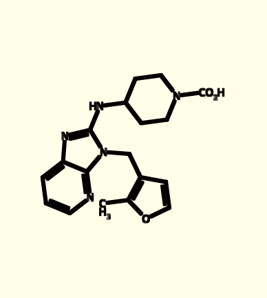 Cc1occc1Cn1c(NC2CCN(C(=O)O)CC2)nc2cccnc21